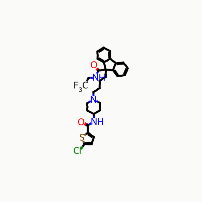 O=C(NC1CCN(CCCCC2(C(=O)NCC(F)(F)F)c3ccccc3-c3ccccc32)CC1)c1ccc(Cl)s1